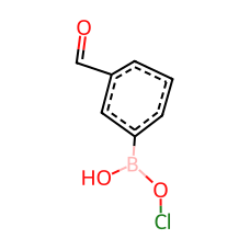 O=Cc1cccc(B(O)OCl)c1